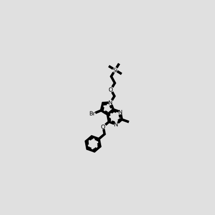 Cc1nc(OCc2ccccc2)c2c(Br)cn(COCC[Si](C)(C)C)c2n1